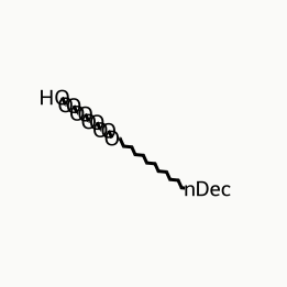 CCCCCCCCCCCCCCCCCCCCCCOOOOOOOOOO